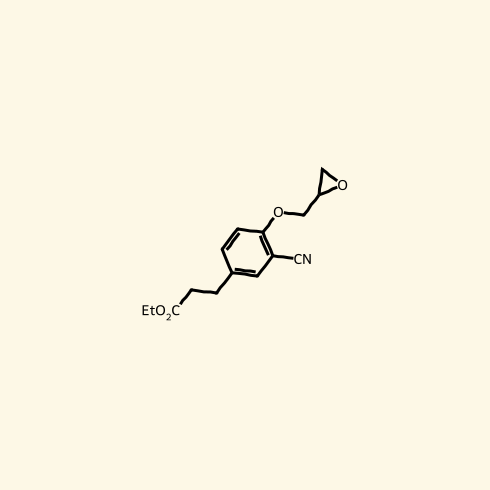 CCOC(=O)CCc1ccc(OCC2CO2)c(C#N)c1